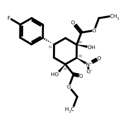 CCOC(=O)[C@]1(O)C[C@H](c2ccc(F)cc2)C[C@](O)(C(=O)OCC)[C@H]1[N+](=O)[O-]